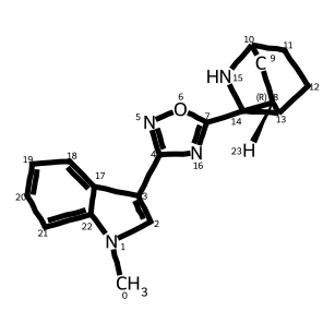 Cn1cc(-c2noc([C@@H]3CC4CCC3CN4)n2)c2ccccc21